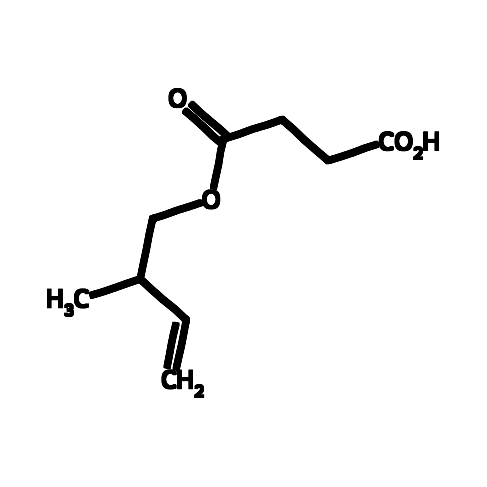 C=CC(C)COC(=O)CCC(=O)O